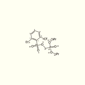 CCc1cccc(C(F)(F)F)c1S(=O)(=O)OCP(=O)(OC(C)C)OC(C)C